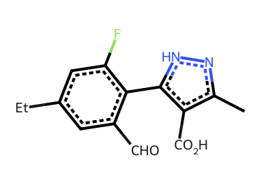 CCc1cc(F)c(-c2[nH]nc(C)c2C(=O)O)c(C=O)c1